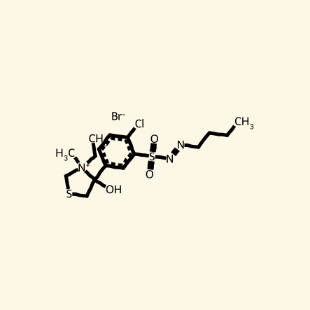 CCCCN=NS(=O)(=O)c1cc(C2(O)CSC[N+]2(C)CC)ccc1Cl.[Br-]